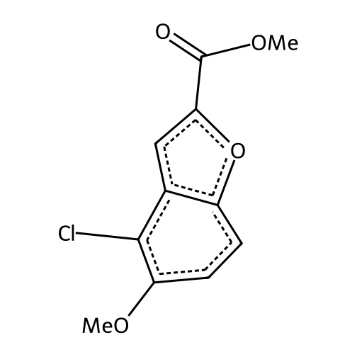 COC(=O)c1cc2c(Cl)c(OC)ccc2o1